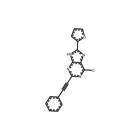 Clc1nc(C#Cc2ccccc2)nc2[nH]c(-c3ccco3)nc12